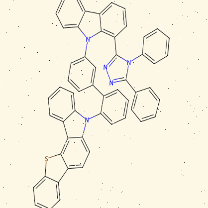 c1ccc(-c2nnc(-c3cccc4c5ccccc5n(-c5cccc(-c6ccccc6-n6c7ccccc7c7c8sc9ccccc9c8ccc76)c5)c34)n2-c2ccccc2)cc1